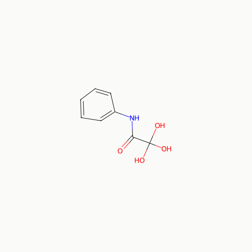 O=C(Nc1ccccc1)C(O)(O)O